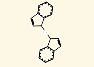 C1=C[CH]([Fe][CH]2C=Cc3ccccc32)c2ccccc21